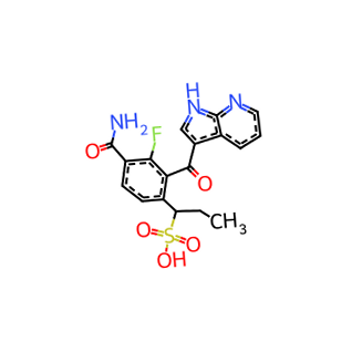 CCC(c1ccc(C(N)=O)c(F)c1C(=O)c1c[nH]c2ncccc12)S(=O)(=O)O